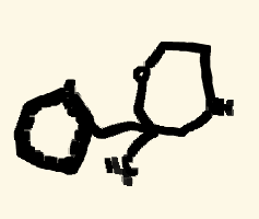 CC1(c2cccs2)CNCCO1